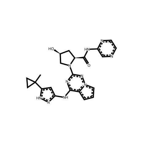 CC1(c2cc(Nc3nc(N4C[C@@H](O)C[C@H]4C(=O)Nc4cnccn4)nn4cccc34)n[nH]2)CC1